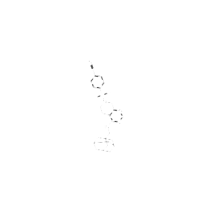 N#Cc1ccc(S(=O)(=O)N2CCc3c(ncnc3NCC34CC5CC(CC(C5)C3)C4)C2)cc1